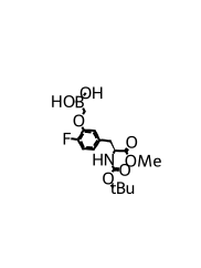 COC(=O)[C@H](Cc1ccc(F)c(OCB(O)O)c1)NC(=O)OC(C)(C)C